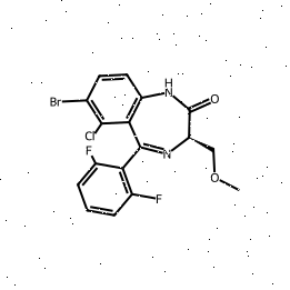 COC[C@H]1N=C(c2c(F)cccc2F)c2c(ccc(Br)c2Cl)NC1=O